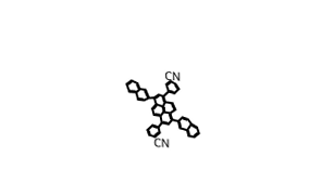 N#Cc1cccc(-c2cc(-c3ccc4ccccc4c3)c3ccc4c(-c5cccc(C#N)c5)cc(-c5ccc6ccccc6c5)c5ccc2c3c45)c1